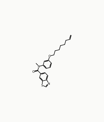 C=CCCCCCCOc1cccc(N(C)C(=O)c2ccc3ncsc3c2)c1